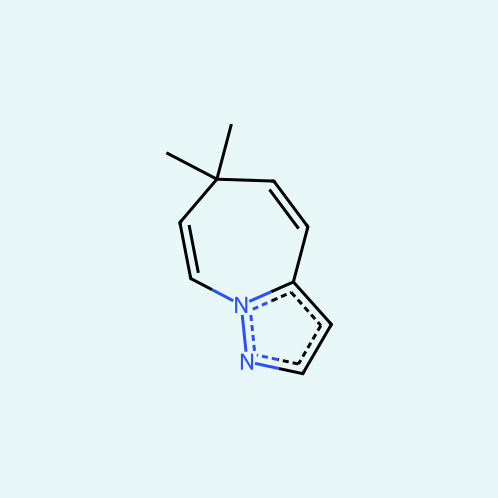 CC1(C)C=Cc2ccnn2C=C1